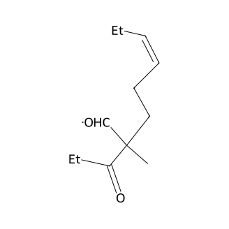 CC/C=C\CCC(C)([C]=O)C(=O)CC